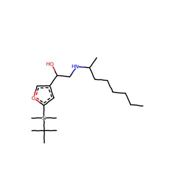 CCCCCCC(C)NCC(O)c1coc([Si](C)(C)C(C)(C)C)c1